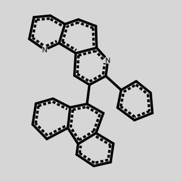 c1ccc(-c2nc3ccc4cccnc4c3cc2-c2cc3ccccc3c3ccccc23)cc1